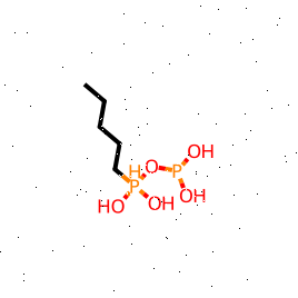 CCCCC[PH](O)(O)OP(O)O